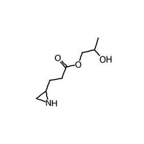 CC(O)COC(=O)CCC1CN1